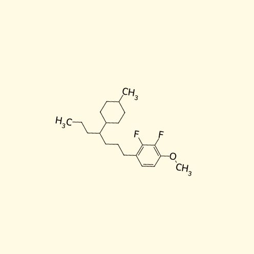 CCCC(CCCc1ccc(OC)c(F)c1F)C1CCC(C)CC1